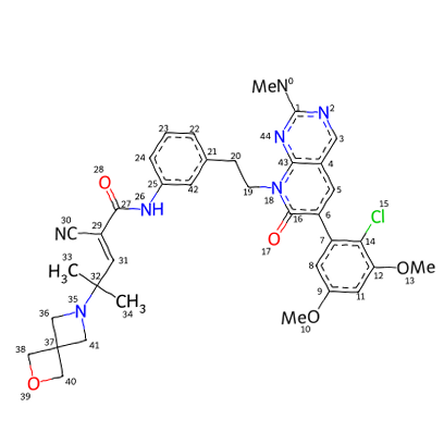 CNc1ncc2cc(-c3cc(OC)cc(OC)c3Cl)c(=O)n(CCc3cccc(NC(=O)C(C#N)=CC(C)(C)N4CC5(COC5)C4)c3)c2n1